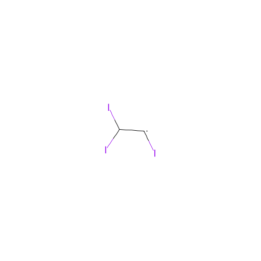 I[CH]C(I)I